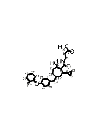 CC(=O)CCNC(=O)C1=C(O)CCC(Cc2ccc(Oc3ccccc3F)cc2)CC1=C1CC1